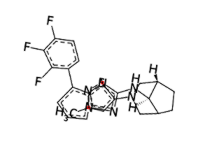 Cc1cc(N2CC3CC[C@@H](C2)[C@@H]3Nc2nc3c(-c4ccc(F)c(F)c4F)cccn3n2)sn1